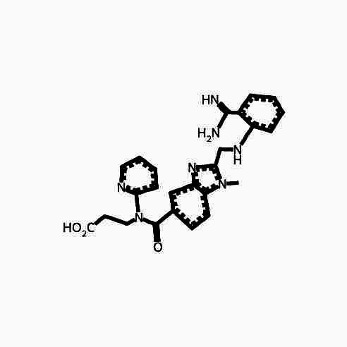 Cn1c(CNc2ccccc2C(=N)N)nc2cc(C(=O)N(CCC(=O)O)c3ccccn3)ccc21